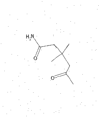 CC(=O)CC(C)(C)CC(N)=O